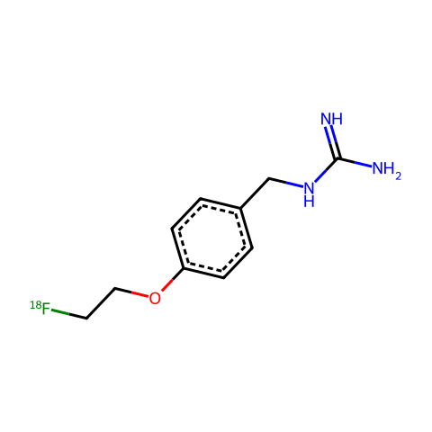 N=C(N)NCc1ccc(OCC[18F])cc1